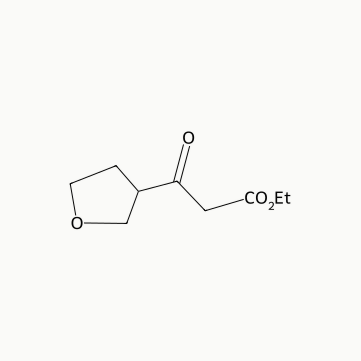 CCOC(=O)CC(=O)C1CCOC1